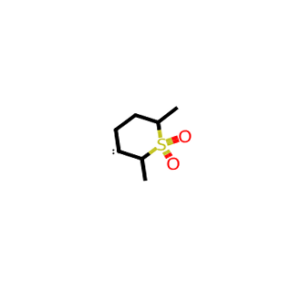 CC1[C]CCC(C)S1(=O)=O